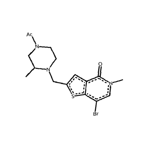 CC(=O)N1CCN(Cc2cc3c(=O)n(C)cc(Br)c3s2)C(C)C1